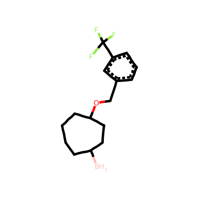 BC1CCCCC(OCc2cccc(C(F)(F)F)c2)CC1